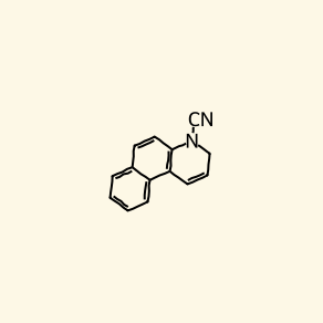 N#CN1CC=Cc2c1ccc1ccccc21